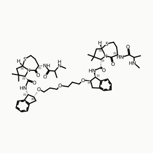 CNC(C)C(=O)N[C@H]1CCS[C@H]2CC(C)(C)[C@@H](C(=O)N[C@H]3c4ccccc4C[C@H]3OCCCOCCCO[C@@H]3Cc4ccccc4[C@@H]3NC(=O)[C@H]3N4C(=O)[C@@H](NC(=O)C(C)NC)CCS[C@H]4CC3(C)C)N2C1=O